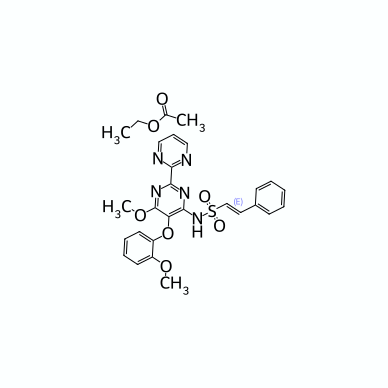 CCOC(C)=O.COc1ccccc1Oc1c(NS(=O)(=O)/C=C/c2ccccc2)nc(-c2ncccn2)nc1OC